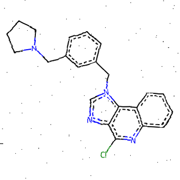 Clc1nc2ccccc2c2c1ncn2Cc1cccc(CN2CCCC2)c1